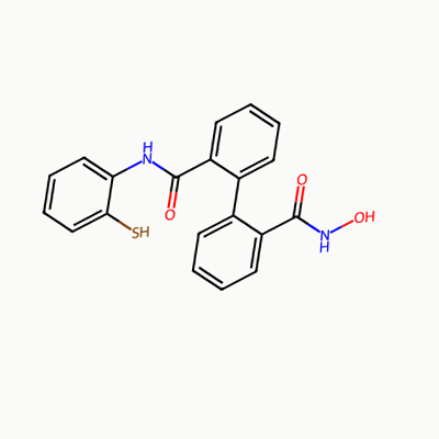 O=C(NO)c1ccccc1-c1ccccc1C(=O)Nc1ccccc1S